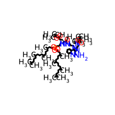 CCN(Cc1nc2c(N)nc3ccccc3c2n1CCCNC(=O)[C@H](CCC(=O)OC(C)(C)C)NCCCP(=O)(OCCC(C)CCCC(C)CCCC(C)CCCC(C)C)OCCC(C)CCCC(C)CCCC(C)CCCC(C)C)C(=O)OC(C)(C)C